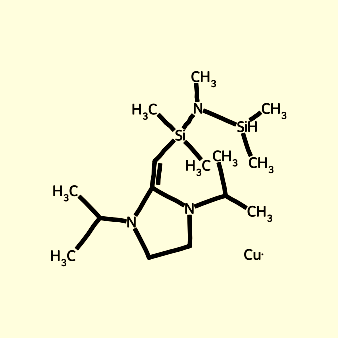 CC(C)N1CCN(C(C)C)C1=C[Si](C)(C)N(C)[SiH](C)C.[Cu]